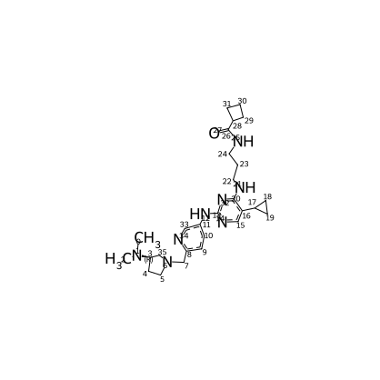 CN(C)[C@@H]1CCN(Cc2ccc(Nc3ncc(C4CC4)c(NCCCNC(=O)C4CCC4)n3)cn2)C1